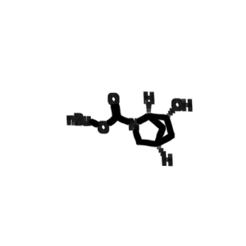 CCCCOC(=O)N1C[C@@H]2C[C@@H](O)[C@H]1C2